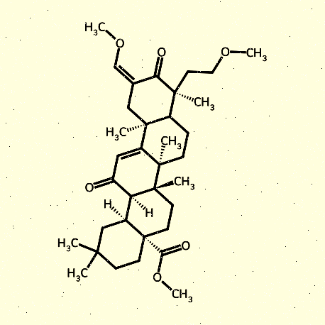 CO/C=C1/C[C@]2(C)C3=CC(=O)[C@@H]4[C@@H]5CC(C)(C)CC[C@]5(C(=O)OC)CC[C@@]4(C)[C@]3(C)CCC2[C@](C)(CCOC)C1=O